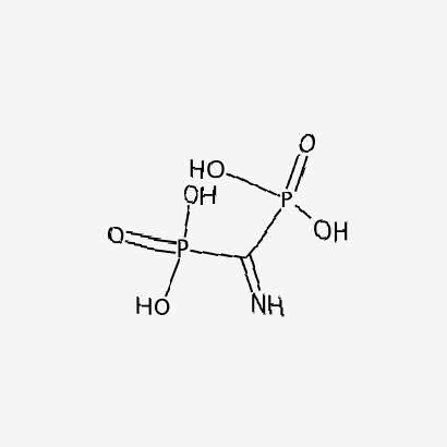 N=C(P(=O)(O)O)P(=O)(O)O